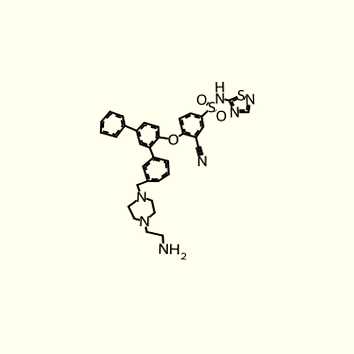 N#Cc1cc(S(=O)(=O)Nc2ncns2)ccc1Oc1ccc(-c2ccccc2)cc1-c1cccc(CN2CCN(CCN)CC2)c1